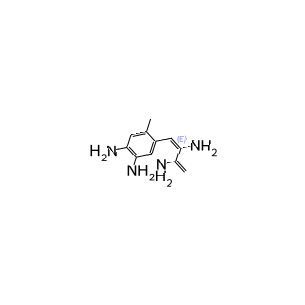 C=C(N)/C(N)=C\c1cc(N)c(N)cc1C